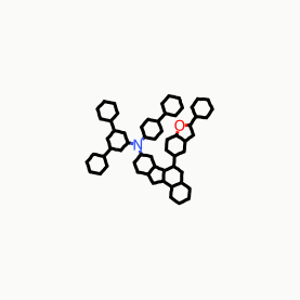 C1CCC(C2CCC(N(C3CC(C4CCCCC4)CC(C4CCCCC4)C3)C3CCC4CC5C6CCCCC6CC(C6CCC7OC(C8CCCCC8)CC7C6)C5C4C3)CC2)CC1